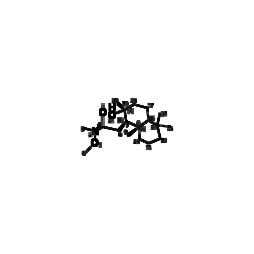 CON(C)C(=O)C[C@@H]1[C@@]2(C)CCCC(C)(C)C2CC[C@@]1(C)O